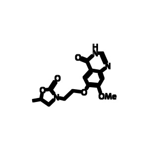 COc1cc2nc[nH]c(=O)c2cc1OCCN1CC(C)OC1=O